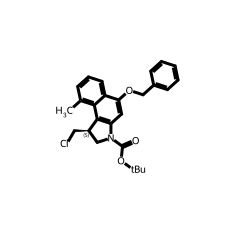 Cc1cccc2c(OCc3ccccc3)cc3c(c12)[C@H](CCl)CN3C(=O)OC(C)(C)C